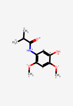 COc1cc(OC)c(NC(=O)C(C)C)cc1O